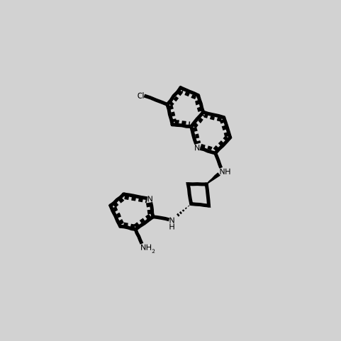 Nc1cccnc1N[C@H]1C[C@H](Nc2ccc3ccc(Cl)cc3n2)C1